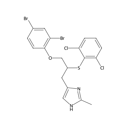 Cc1nc(CC(COc2ccc(Br)cc2Br)Sc2c(Cl)cccc2Cl)c[nH]1